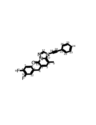 Cc1cc(Cc2ccc(F)c(F)c2)c(=O)n2ncn(C#Cc3ccccc3)c12